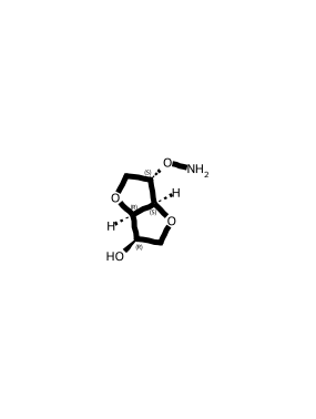 NO[C@H]1CO[C@H]2[C@@H]1OC[C@H]2O